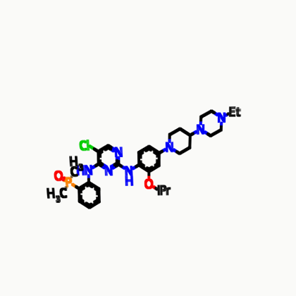 CCN1CCN(C2CCN(c3ccc(Nc4ncc(Cl)c(Nc5ccccc5P(C)(C)=O)n4)c(OC(C)C)c3)CC2)CC1